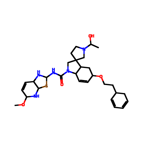 COC1C=CC2NC(NC(=O)N3CC4(CCN(C(C)O)C4)C4CC(OCCC5C=CC=CC5)C=CC43)SC2N1